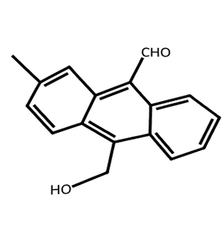 Cc1ccc2c(CO)c3ccccc3c(C=O)c2c1